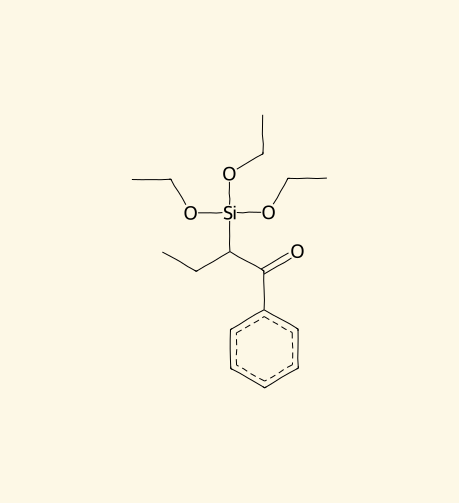 CCO[Si](OCC)(OCC)C(CC)C(=O)c1ccccc1